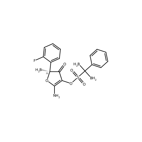 BC(B)(c1ccccc1)S(=O)(=O)OC1=C(N)O[C@@](B)(c2ccccc2F)C1=O